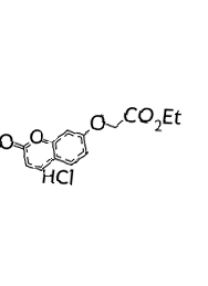 CCOC(=O)COc1ccc2ccc(=O)oc2c1.Cl